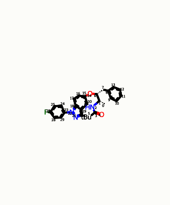 C[C@H](NC(=O)C(C)(C)C)[C@@H](Cc1ccccc1)Oc1ccc2c(cnn2-c2ccc(F)cc2)c1